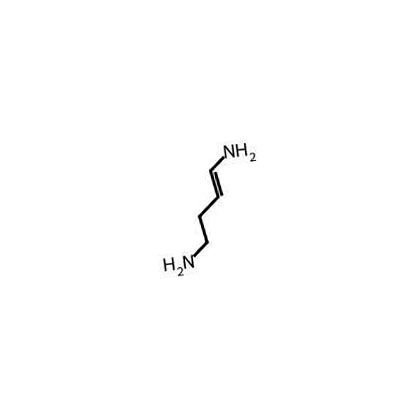 NC=CCCN